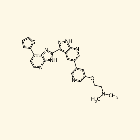 CN(C)CCOc1cncc(-c2cnc3[nH]nc(-c4nc5c(-c6cccs6)ccnc5[nH]4)c3c2)c1